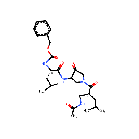 CC(=O)NC[C@H](CC(C)C)C(=O)N1CC(=O)C(NC(=O)[C@H](CC(C)C)NC(=O)OCc2ccccc2)C1